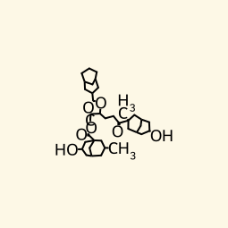 CC1CC2CC(O)CC(C(=O)OCC3OC(C4CC5CCCC(C5)C4)OC3CCC(=O)C3(C)CC4CC(O)CC(C4)C3)(C1)C2